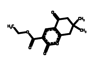 CCOC(=O)c1cc2c(oc1=O)CC(C)(C)CC2=O